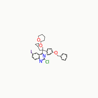 Clc1nc(C(COC2CCCCO2)(CC2CC2)c2ccc(OCc3ccccc3)cc2)c2cc(I)ccc2n1